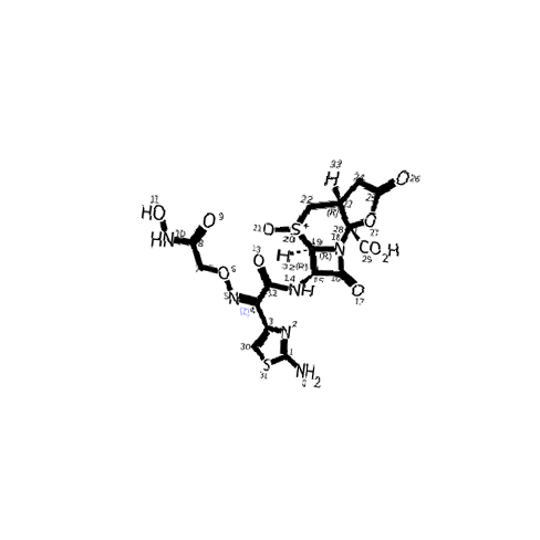 Nc1nc(/C(=N/OCC(=O)NO)C(=O)N[C@@H]2C(=O)N3[C@@H]2[S+]([O-])C[C@@H]2CC(=O)O[C@@]23C(=O)O)cs1